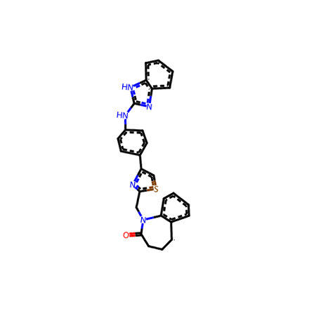 O=C1CC[CH]c2ccccc2N1Cc1nc(-c2ccc(Nc3nc4ccccc4[nH]3)cc2)cs1